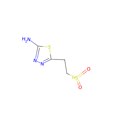 Nc1nnc(CC[SH](=O)=O)s1